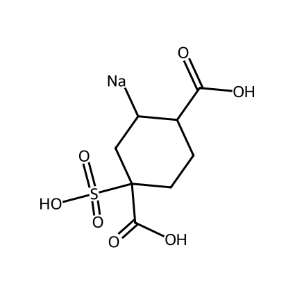 O=C(O)C1CCC(C(=O)O)(S(=O)(=O)O)C[CH]1[Na]